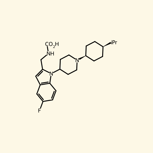 CC(C)[C@H]1CC[C@@H](N2CCC(n3c(CNC(=O)O)cc4cc(F)ccc43)CC2)CC1